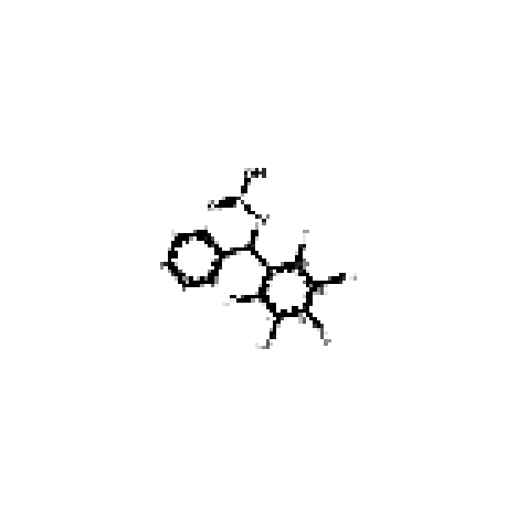 O=S(O)OC(c1ccccc1)c1c(F)c(F)c(F)c(F)c1F